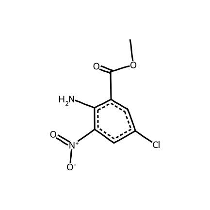 COC(=O)c1cc(Cl)cc([N+](=O)[O-])c1N